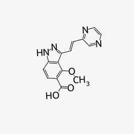 COc1c(C(=O)O)ccc2[nH]nc(/C=C/c3cnccn3)c12